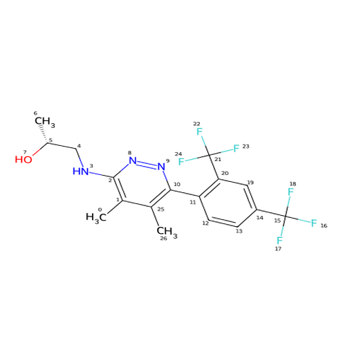 Cc1c(NC[C@@H](C)O)nnc(-c2ccc(C(F)(F)F)cc2C(F)(F)F)c1C